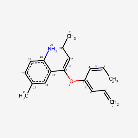 C=C/C=C(\C=C/C)O/C(=C/CC)c1cc(C)ccc1N